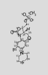 CS(=O)(=O)OC[C@@H]1OC(=O)N2c3cc(F)c(N4CCSCC4)cc3OC[C@@H]12